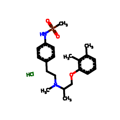 Cc1cccc(OCC(C)N(C)CCc2ccc(NS(C)(=O)=O)cc2)c1C.Cl